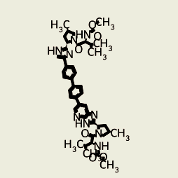 COC(=O)N[C@H](C(=O)N1C[C@@H](C)C[C@@H]1c1nc2cc(-c3ccc(-c4ccc(-c5c[nH]c([C@@H]6C[C@H](C)CN6C(=O)[C@@H](NC(=O)OC)C(C)C)n5)cc4)cc3)cnc2[nH]1)C(C)C